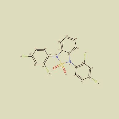 O=S1(=O)N(c2ccc(F)cc2F)c2ccccc2N1c1ccc(F)cc1F